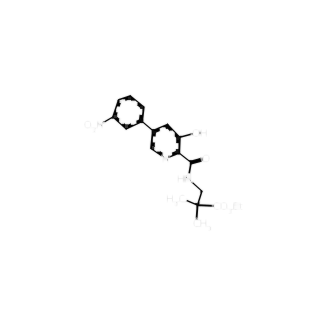 CCOC(=O)C(C)(C)CNC(=O)c1ncc(-c2cccc([N+](=O)[O-])c2)cc1O